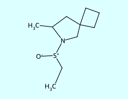 CC[S+]([O-])N1CC2(CCC2)CC1C